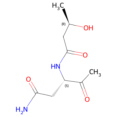 CC(=O)[C@H](CC(N)=O)NC(=O)C[C@@H](C)O